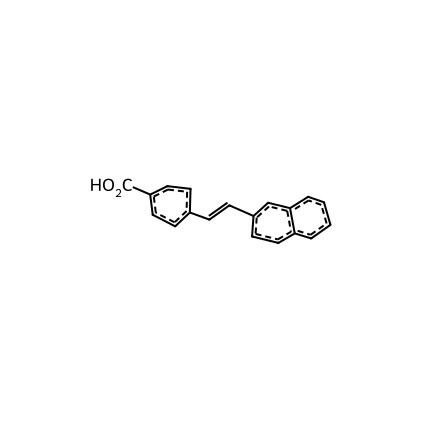 O=C(O)c1ccc(/C=C/c2ccc3ccccc3c2)cc1